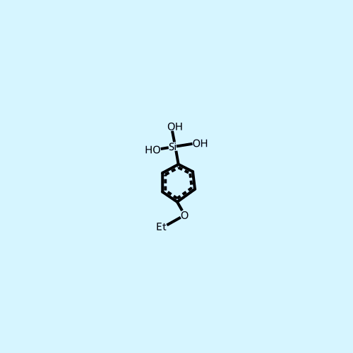 CCOc1ccc([Si](O)(O)O)cc1